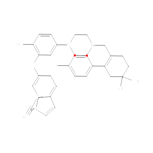 C#CN/C=C(\C/C=C1/C=CNC1)Oc1cc(N2CCN(CC3=C(c4ccc(Cl)cc4)CC(C)(C)CC3)CC2)ccc1C=O